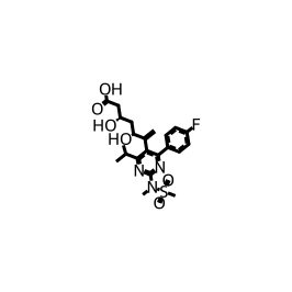 C=C(c1c(-c2ccc(F)cc2)nc(N(C)S(C)(=O)=O)nc1C(C)C)[C@@H](O)C[C@@H](O)CC(=O)O